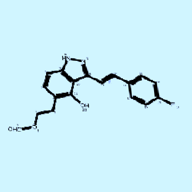 O=COCCc1ccc2[nH]nc(/C=C/c3ccc(F)cc3)c2c1O